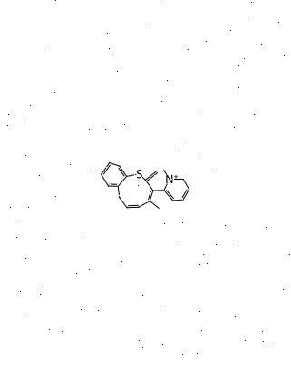 C=C1Sc2ccccc2C/C=C\C(C)=C/1c1cccc[n+]1C